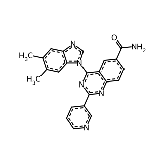 Cc1cc2ncn(-c3nc(-c4cccnc4)nc4ccc(C(N)=O)cc34)c2cc1C